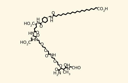 CC(C(=O)NCC=O)C(OCCOCCNC(=O)COCCOCCNC(=O)[C@H](CCC(=O)O)NC(=O)CC[C@H](NC(=O)[C@H]1CC[C@H](CNC(=O)CCCCCCCCCCCCCCCCCCC(=O)O)CC1)C(=O)O)C(N)=O